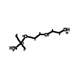 CC(C)(N)OCCOCCO